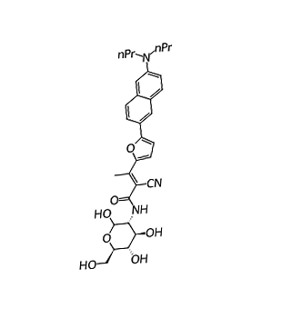 CCCN(CCC)c1ccc2cc(-c3ccc(/C(C)=C(\C#N)C(=O)N[C@H]4C(O)O[C@H](CO)[C@@H](O)[C@@H]4O)o3)ccc2c1